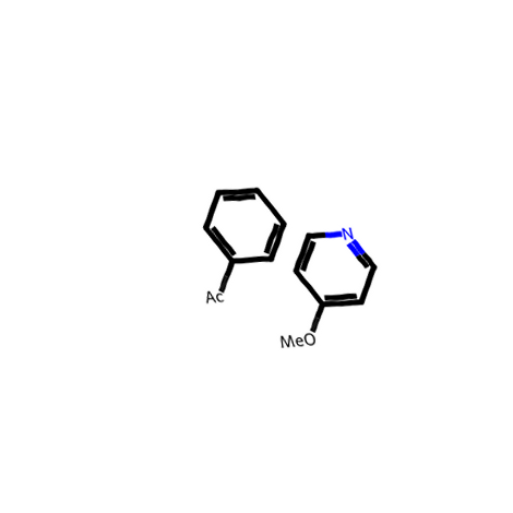 CC(=O)c1ccccc1.COc1ccncc1